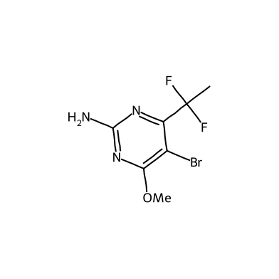 COc1nc(N)nc(C(C)(F)F)c1Br